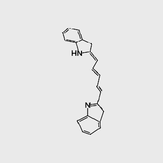 C(=CC=C1Cc2ccccc2N1)C=CC1=Nc2ccccc2C1